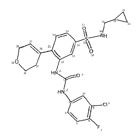 O=C(Nc1ccc(F)c(Cl)c1)Nc1cc(S(=O)(=O)NCC2CC2)ccc1C1=CCOCC1